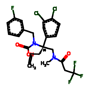 C=CC[C@@](CN(C)C(=O)CC(F)(F)F)(c1ccc(Cl)c(Cl)c1)N(Cc1cccc(F)c1)C(=O)O